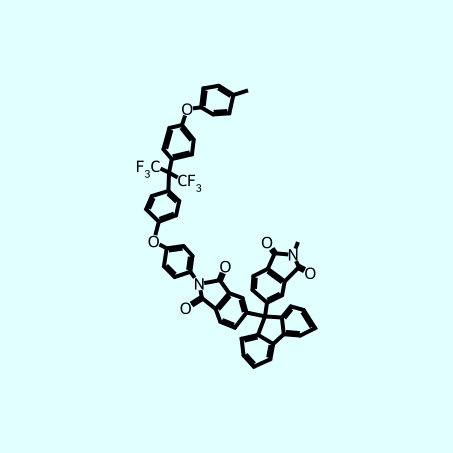 Cc1ccc(Oc2ccc(C(c3ccc(Oc4ccc(N5C(=O)c6ccc(C7(c8ccc9c(c8)C(=O)N(C)C9=O)c8ccccc8-c8ccccc87)cc6C5=O)cc4)cc3)(C(F)(F)F)C(F)(F)F)cc2)cc1